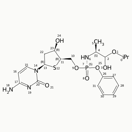 CC(C)OC(O)[C@H](C)N[P@](=O)(OC[C@H]1S[C@@H](n2ccc(N)nc2=O)C[C@H]1O)Oc1ccccc1